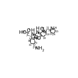 NCc1ccc(C(CC(=O)O)NC(=O)Nc2c(O)ccn(Cc3ccccn3)c2=O)cc1